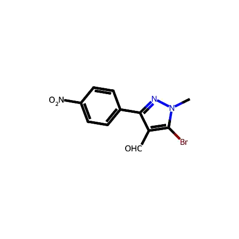 Cn1nc(-c2ccc([N+](=O)[O-])cc2)c(C=O)c1Br